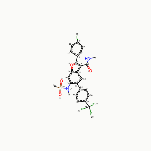 CNC(=O)c1c(-c2ccc(F)cc2)oc2cc(N(C)S(C)(=O)=O)c(-c3ccc(C(F)(F)F)cc3)cc12